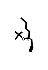 C#CC[C@H](CCCC)OC(C)(C)C